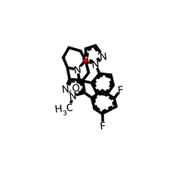 Cn1nc2c(c1-c1cc(F)cc(F)c1)CC1CCCC2N1C(=O)c1ccccc1-n1nccn1